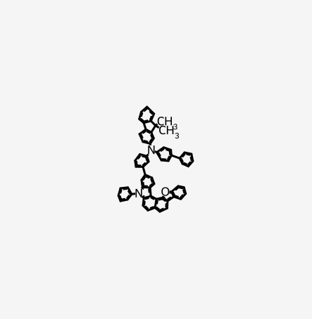 CC1(C)c2ccccc2-c2ccc(N(c3ccc(-c4ccccc4)cc3)c3cccc(-c4ccc5c6c7c(ccc8c9ccccc9oc87)ccc6n(-c6ccccc6)c5c4)c3)cc21